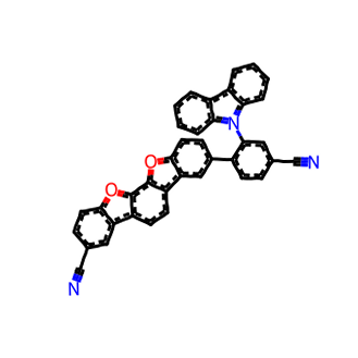 N#Cc1ccc(-c2ccc3oc4c(ccc5c6cc(C#N)ccc6oc54)c3c2)c(-n2c3ccccc3c3ccccc32)c1